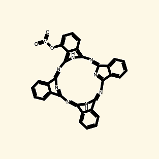 [O]=[V](=[O])[O]c1cccc2c3nc4nc(nc5[nH]c(nc6nc(nc([nH]3)c12)-c1ccccc1-6)c1ccccc51)-c1ccccc1-4